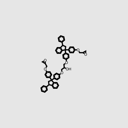 OC(COc1ccc(C2(c3ccc(OCC4CO4)cc3)CC(c3ccccc3)c3ccccc32)cc1)COc1ccc(C2(c3ccc(OCC4CO4)cc3)CC(c3ccccc3)c3ccccc32)cc1